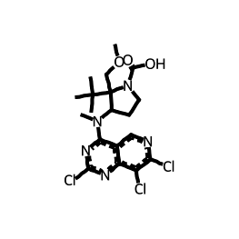 COCC1(C(C)(C)C)C(N(C)c2nc(Cl)nc3c(Cl)c(Cl)ncc23)CCN1C(=O)O